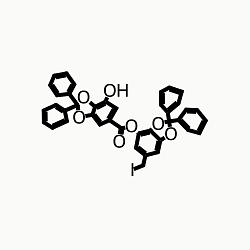 O=C(Oc1cc(CI)cc2c1OC(c1ccccc1)(c1ccccc1)O2)c1cc(O)c2c(c1)OC(c1ccccc1)(c1ccccc1)O2